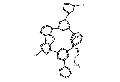 C/C=C(\C=C/CC)c1cc(-c2cccnc2)cc(-c2cc(Cl)cc3c2oc2c(-c4cc(C5=CC=CN(C)C5)cc(-c5cccnc5)c4)cccc23)c1